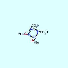 CC(C)(C)C(=O)CN1CCN(COC=O)CCN(CC(=O)O)CCN(CC(=O)O)CC1